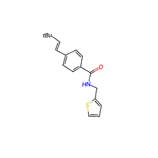 CC(C)(C)/C=C/c1ccc(C(=O)NCc2cccs2)cc1